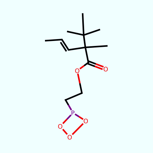 CC=CC(C)(C(=O)OCCP1OOO1)C(C)(C)C